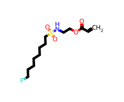 C=CC(=O)OCCNS(=O)(=O)CCCCCCCCF